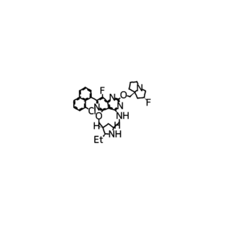 CC[C@@H]1N[C@H]2CNc3nc(OC[C@@]45CCCN4C[C@H](F)C5)nc4c(F)c(-c5cccc6cccc(Cl)c56)nc(c34)OC[C@H]1C2